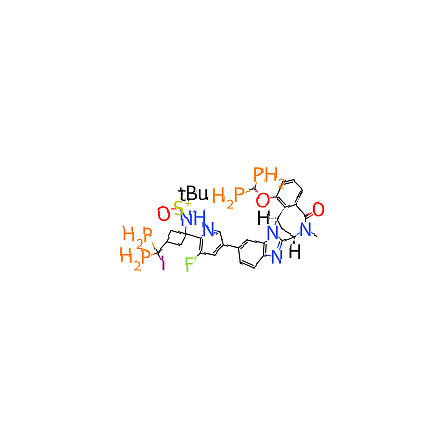 CN1C(=O)c2cccc(OC(P)P)c2[C@H]2C[C@H]1c1nc3ccc(-c4cnc(C5(N[S+]([O-])C(C)(C)C)CC(C(P)(P)I)C5)c(F)c4)cc3n12